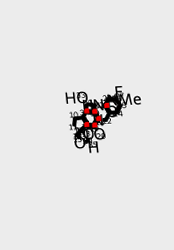 CNC(=O)Nc1ccc2c(c1)CC[C@@]21O[C@@H]2OC1N2CC(=O)N(Cc1ccc(F)cc1)C1CC(O)C1